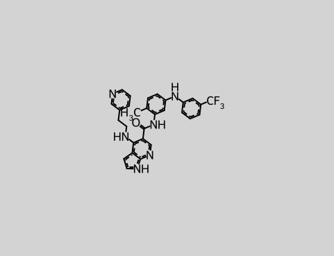 Cc1ccc(Nc2cccc(C(F)(F)F)c2)cc1NC(=O)c1cnc2[nH]ccc2c1NCCc1cccnc1